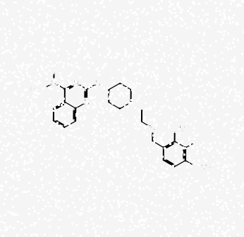 COc1ccc(CNCC[C@H]2CC[C@@H](Nc3nc(N(C)C)c4ccccc4n3)CC2)c(OC)c1C